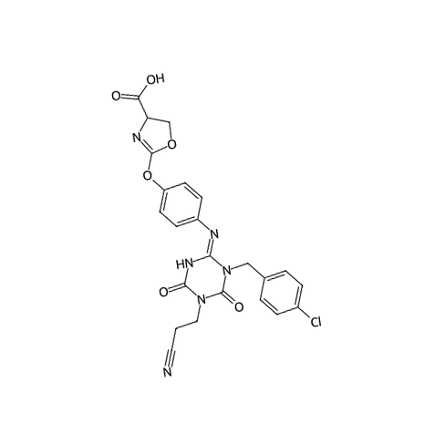 N#CCCn1c(=O)[nH]/c(=N\c2ccc(OC3=NC(C(=O)O)CO3)cc2)n(Cc2ccc(Cl)cc2)c1=O